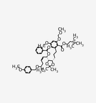 COCOc1cc(OC)cc(CCC[C@@H]2OC(C)(C)O[C@@H]2C(/C=C\C[C@H](C)OCc2ccc(OC)cc2)OC(=O)c2ccccc2)c1C(=O)OCC[Si](C)(C)C